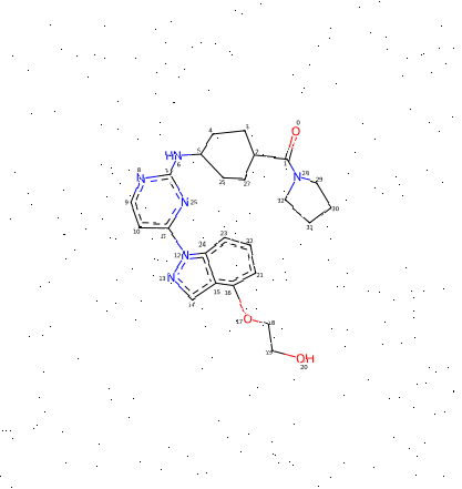 O=C(C1CCC(Nc2nccc(-n3ncc4c(OCCO)cccc43)n2)CC1)N1CCCC1